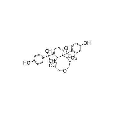 CC(C)(C1=CC=CC2(C(C)(C)c3ccc(O)cc3)C3OC3COCC3OC3C12)c1ccc(O)cc1